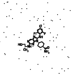 C[C@H](CO)Nc1ncc2nc(Nc3c(F)cc(Cl)cc3F)n([C@H]3CC[C@H](C(N)=O)CC3)c2n1